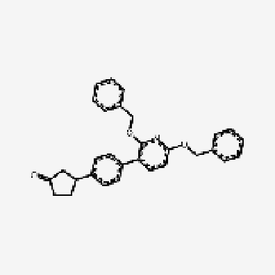 O=C1CCC(c2ccc(-c3ccc(OCc4ccccc4)nc3OCc3ccccc3)cc2)C1